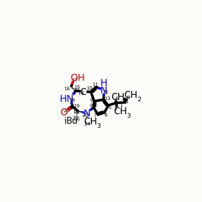 C=CC(C)(C)c1ccc2c3c(c[nH]c13)C[C@@H](CO)NC(=O)[C@H]([C@@H](C)CC)N2C